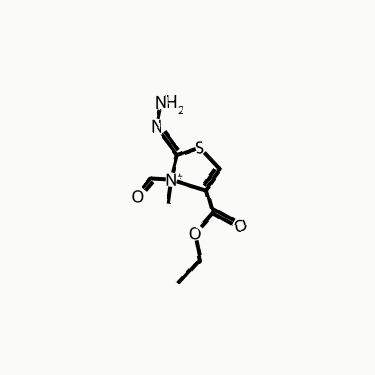 CCOC(=O)C1=CSC(=NN)[N+]1(C)C=O